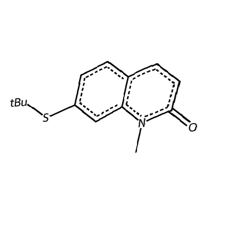 Cn1c(=O)ccc2ccc(SC(C)(C)C)cc21